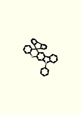 c1ccc(-n2c3ccccc3c3cc4c(cc32)Sc2ccccc2C42c3ccccc3-c3ccccc32)cc1